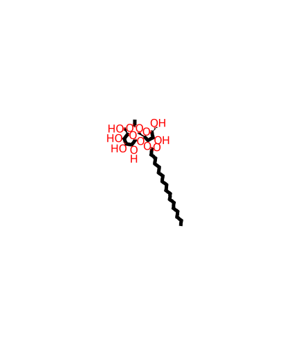 CCCCCCCCCCCCCCCCCC(=O)O[C@H]1[C@H](O)[C@@H](CO)O[C@@]1(COC(C)=O)O[C@H]1O[C@H](CO)[C@@H](O)[C@H](O)[C@H]1O